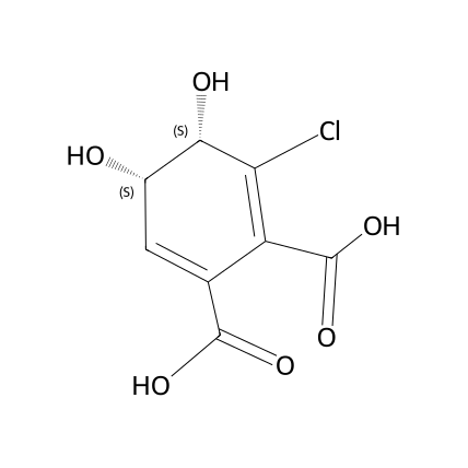 O=C(O)C1=C[C@H](O)[C@H](O)C(Cl)=C1C(=O)O